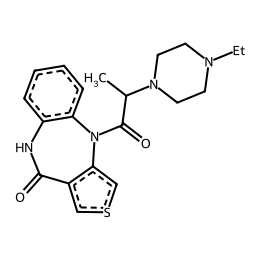 CCN1CCN(C(C)C(=O)N2c3ccccc3NC(=O)c3cscc32)CC1